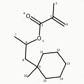 C=C(C)C(=O)OC(C)CC1(C)CCCCC1